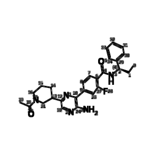 CC[C@@H](NC(=O)c1ccc(-c2nc(C3CCCN(C(C)=O)C3)cnc2N)cc1F)c1ccccc1